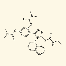 CCNC(=O)Sc1nnc(-c2ccc(OC(=O)N(C)C)cc2OC(=O)N(C)C)n1-c1cccc2ccccc12